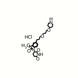 Cl.Cn1c(=O)n(C2CCC(=O)NC2=O)c2ccc(CCCOCCCOC3CCNCC3)cc21